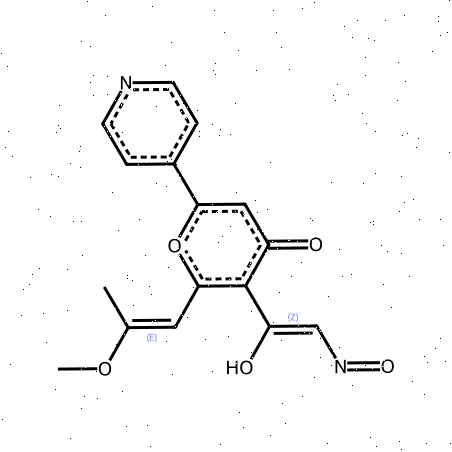 CO/C(C)=C/c1oc(-c2ccncc2)cc(=O)c1/C(O)=C/N=O